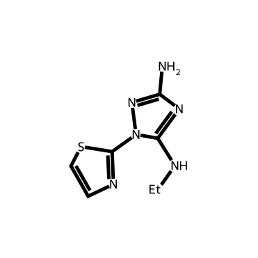 CCNc1nc(N)nn1-c1nccs1